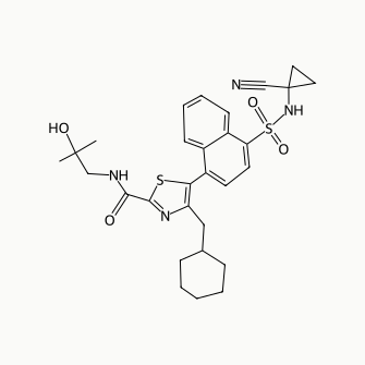 CC(C)(O)CNC(=O)c1nc(CC2CCCCC2)c(-c2ccc(S(=O)(=O)NC3(C#N)CC3)c3ccccc23)s1